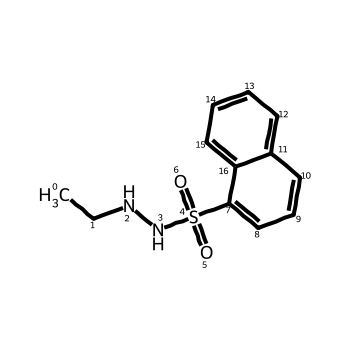 CCNNS(=O)(=O)c1cccc2ccccc12